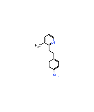 Cc1cccnc1CCc1ccc(N)cc1